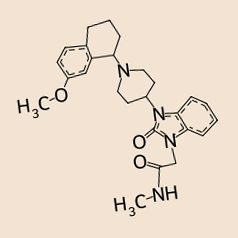 CNC(=O)Cn1c(=O)n(C2CCN(C3CCCc4ccc(OC)cc43)CC2)c2ccccc21